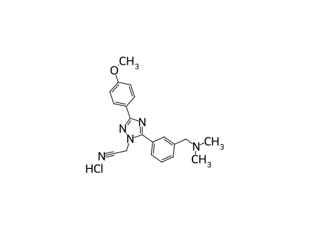 COc1ccc(-c2nc(-c3cccc(CN(C)C)c3)n(CC#N)n2)cc1.Cl